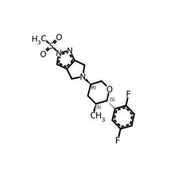 C[C@H]1C[C@@H](N2Cc3cn(S(C)(=O)=O)nc3C2)CO[C@@H]1c1cc(F)ccc1F